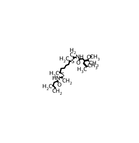 C=CC(=C)CC(=O)NC(=C)SC(=C)CCCCC(=C)SC(=C)NC(=O)C/C(C=C(C)C)=C(/C)OC